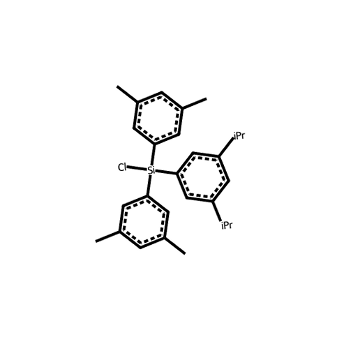 Cc1cc(C)cc([Si](Cl)(c2cc(C)cc(C)c2)c2cc(C(C)C)cc(C(C)C)c2)c1